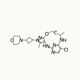 Cc1c2c(nn1C1CC(N3CCOCC3)C1)OCCC(C)Nc1nc(ncc1Cl)N2